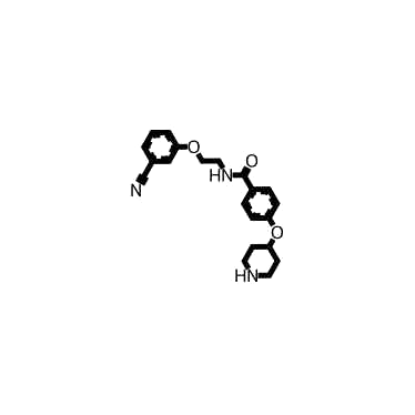 N#Cc1cccc(OCCNC(=O)c2ccc(OC3CCNCC3)cc2)c1